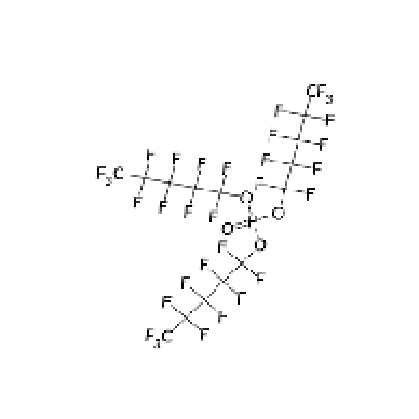 O=P(OC(F)(F)C(F)(F)C(F)(F)C(F)(F)C(F)(F)F)(OC(F)(F)C(F)(F)C(F)(F)C(F)(F)C(F)(F)F)OC(F)(F)C(F)(F)C(F)(F)C(F)(F)C(F)(F)F